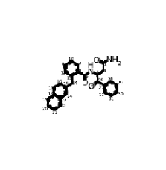 NC(=O)CC(NC(=O)c1ccccc1Cc1ccc2ccccc2c1)C(=O)c1ccccc1